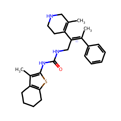 CC1=C(/C(CNC(=O)Nc2sc3c(c2C)CCCC3)=C(\C)c2ccccc2)CCNC1